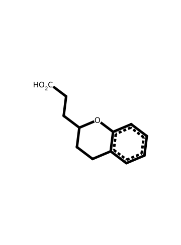 O=C(O)CCC1CCc2ccccc2O1